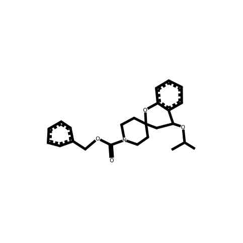 CC(C)OC1CC2(CCN(C(=O)OCc3ccccc3)CC2)Oc2ccccc21